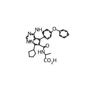 CC(NC(=O)c1c(-c2ccc(Oc3ccccc3)cc2)c2c(N)ncnn2c1C1CCCC1)C(=O)O